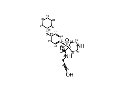 O=C(NCC#CO)C1(S(=O)(=O)c2ccc(SC3CCCCC3)cc2)CCNCC1